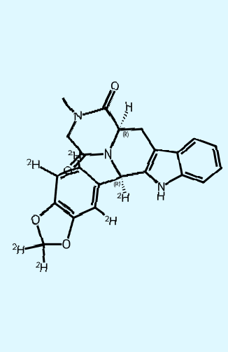 [2H]c1c([2H])c([C@]2([2H])c3[nH]c4ccccc4c3C[C@@H]3C(=O)N(C)CC(=O)N32)c([2H])c2c1OC([2H])([2H])O2